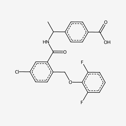 CC(NC(=O)c1cc(Cl)ccc1COc1c(F)cccc1F)c1ccc(C(=O)O)cc1